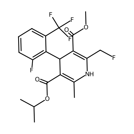 COC(=O)C1=C(CF)NC(C)=C(C(=O)OC(C)C)C1c1c(F)cccc1C(F)(F)F